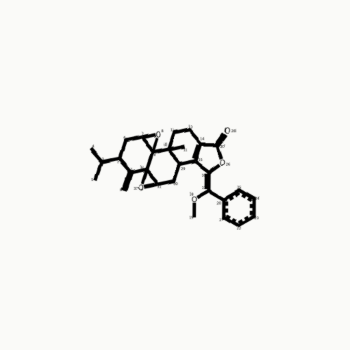 C=C1C(C(C)C)CC2OC23C2(C)CCC4=C(/C(=C(\OC)c5ccccc5)OC4=O)C2CC2OC123